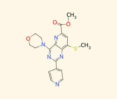 COC(=O)c1cc(SC)c2nc(-c3ccncc3)nc(N3CCOCC3)c2n1